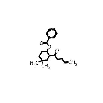 C=CCCC(=O)C1CC(C)(C)CCC1OC(=O)c1ccccc1